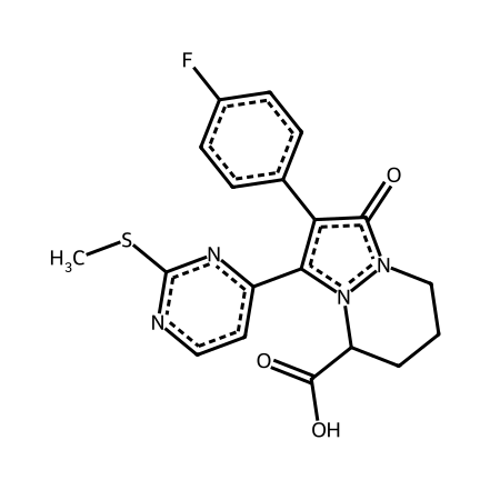 CSc1nccc(-c2c(-c3ccc(F)cc3)c(=O)n3n2C(C(=O)O)CCC3)n1